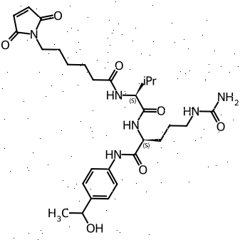 CC(O)c1ccc(NC(=O)[C@H](CCCNC(N)=O)NC(=O)[C@@H](NC(=O)CCCCCN2C(=O)C=CC2=O)C(C)C)cc1